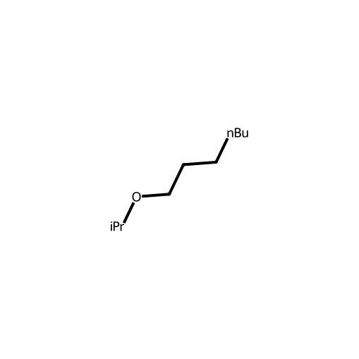 [CH2]C(C)OCCCCCCC